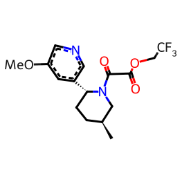 COc1cncc([C@H]2CC[C@H](C)CN2C(=O)C(=O)OCC(F)(F)F)c1